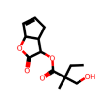 CCC(C)(CO)C(=O)OC1C(=O)OC2C=CCC21